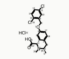 C[C@H](Cc1ccc(OCc2cc(Cl)ccc2Cl)cc1)N(C)CC(=O)O.Cl